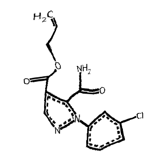 C=CCOC(=O)c1cnn(-c2cccc(Cl)c2)c1C(N)=O